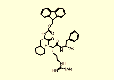 CNC(=N)NCCC[C@H](NC(=O)[C@H](CC1CCCCC1)NC(=O)OCC1c2ccccc2-c2ccccc21)C(=O)N[C@@H](Cc1ccccc1)C(C)=O